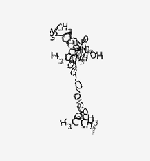 Cc1ncsc1-c1ccc(CNC(=O)C2C[C@@H](O)CN2C(=O)[C@@H](NC(=O)COCCOCCOCCOCC(=O)OC(C)(C)C)C(C)(C)C)cc1